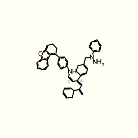 C=C(/C=C(\C=C/Nc1ccc(C2=c3c(oc4ccccc34)=CCC2)cc1)C1=CC=C(CN(N)c2ccccc2)CC1)C1C=CC=CC1